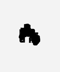 CS(=O)(=O)NC(=O)c1ccc(NC(=O)[C@H](Cc2ccccc2)NC(=O)C=Cc2cc(Cl)ccc2-n2cnnn2)cc1F